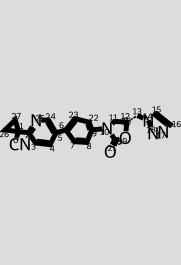 N#CC1(c2ccc(-c3ccc(N4C[C@H](Cn5ccnn5)OC4=O)cc3)cn2)CC1